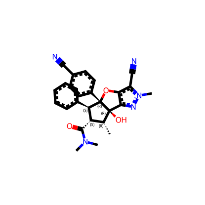 C[C@@H]1[C@H](C(=O)N(C)C)[C@@H](c2ccccc2)[C@]2(c3ccc(C#N)cc3)Oc3c(nn(C)c3C#N)[C@]12O